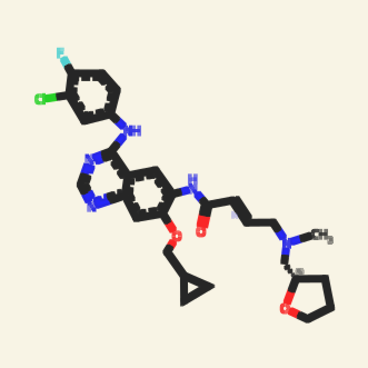 CN(C/C=C/C(=O)Nc1cc2c(Nc3ccc(F)c(Cl)c3)ncnc2cc1OCC1CC1)C[C@@H]1CCCO1